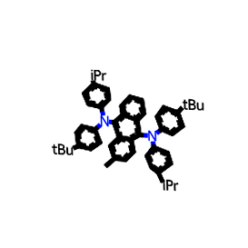 Cc1ccc2c(N(c3ccc(C(C)C)cc3)c3ccc(C(C)(C)C)cc3)c3ccccc3c(N(c3ccc(C(C)C)cc3)c3ccc(C(C)(C)C)cc3)c2c1